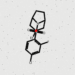 CCN1CC2CCC(C1)N2S(=O)(=O)c1ccc(Cl)cc1F